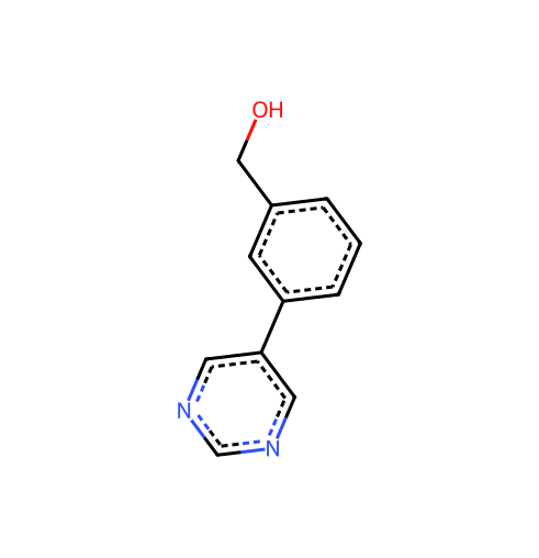 OCc1cccc(-c2cncnc2)c1